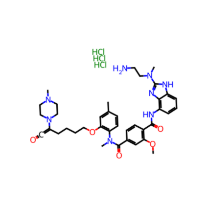 COc1cc(C(=O)N(C)c2ccc(C)cc2OCCCCC(=C=O)N2CCN(C)CC2)ccc1C(=O)Nc1cccc2[nH]c(N(C)CCN)nc12.Cl.Cl.Cl